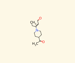 CC/C(=C\C=O)N1CCC(C(C)=O)CC1